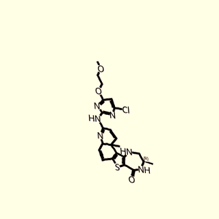 COCCOc1cc(Cl)nc(NC2=NC3C=Cc4sc5c(c4C3(C)C=C2)NC[C@@H](C)NC5=O)n1